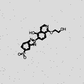 O=[N+]([O-])c1ccc2nn(-c3ccc4c(OCCO)nccc4c3O)nc2c1